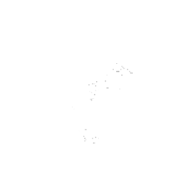 CN(CCCn1nnc2cc(CNC[C@H](O[Si](C)(C)C(C)(C)C)c3ccc(O)c4[nH]c(=O)ccc34)c3c(c21)CCC3)[C@H]1CC[C@H](OC(=O)[C@](O)(c2cccs2)c2ccc(Br)s2)CC1